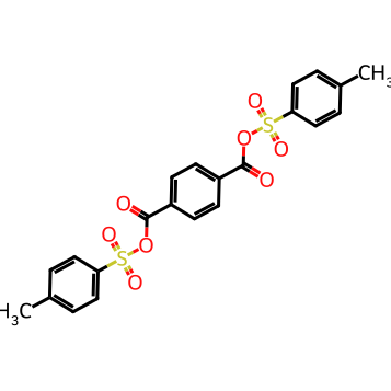 Cc1ccc(S(=O)(=O)OC(=O)c2ccc(C(=O)OS(=O)(=O)c3ccc(C)cc3)cc2)cc1